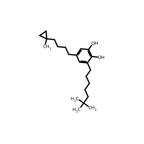 CC(C)(C)CCCCCc1cc(CCCCC2(C)CC2)cc(O)c1O